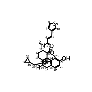 CN(C(=O)C=Cc1ccsc1)[C@H]1CC[C@@]2(O)[C@H]3Cc4ccc(O)c5c4[C@@]2(CCN3CC2CC2)[C@H]1O5